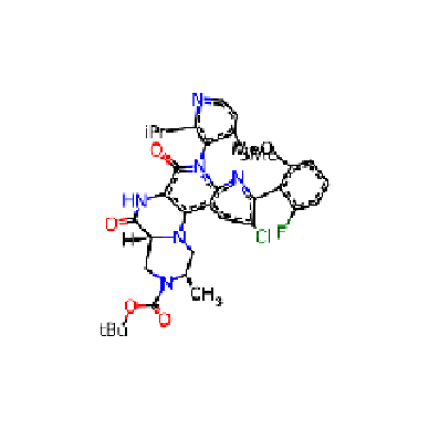 COc1cccc(F)c1-c1nc2c(cc1Cl)c1c(c(=O)n2-c2c(SC)ccnc2C(C)C)NC(=O)[C@H]2CN(C(=O)OC(C)(C)C)[C@H](C)CN12